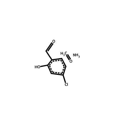 C=O.N.O=Cc1ccc(Cl)cc1O